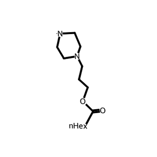 CCCCCCC(=O)OCCCN1CC[N]CC1